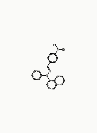 CCN(CC)c1ccc(C=NN(c2ccccc2)c2cccc3ccccc23)cc1